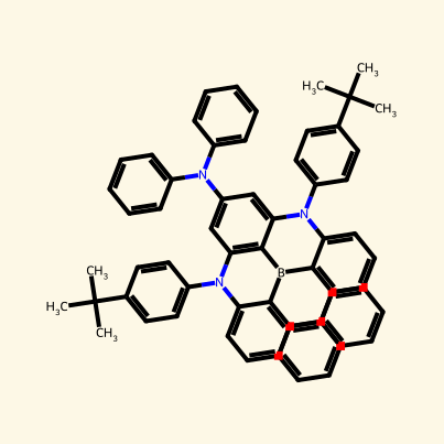 CC(C)(C)c1ccc(N2c3cccc(-c4ccccc4)c3B3c4c(-c5ccccc5)cccc4N(c4ccc(C(C)(C)C)cc4)c4cc(N(c5ccccc5)c5ccccc5)cc2c43)cc1